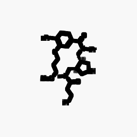 CCCc1ccc(C(=O)N(C[C@@H]2CNC[C@H]2CN(C)C(=O)CCC(C)C)C(C)C)cc1OCCCOC